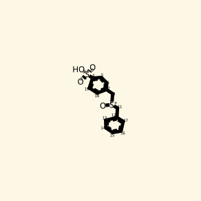 O=S(=O)(O)c1ccc(C[S+]([O-])Cc2ccccc2)cc1